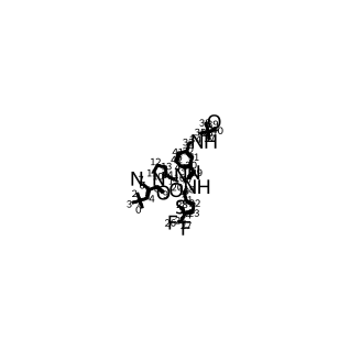 CC(C)(C)C=C(C#N)C(=O)N1CCCC1Cn1c(NC(=O)c2ccc(C(F)F)s2)nc2cc(CNCC3(C)COC3)ccc21